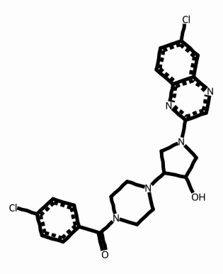 O=C(c1ccc(Cl)cc1)N1CCN(C2CN(c3cnc4cc(Cl)ccc4n3)CC2O)CC1